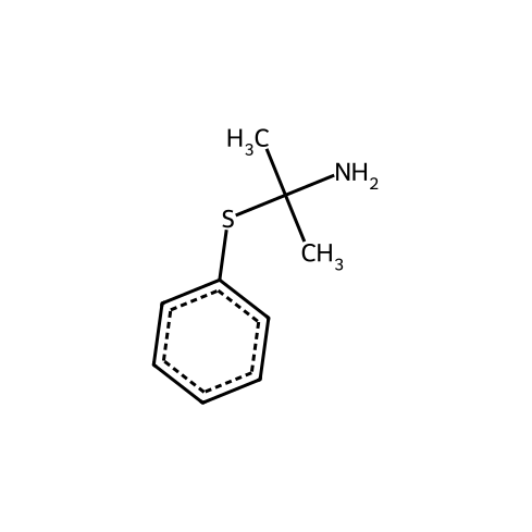 CC(C)(N)Sc1ccccc1